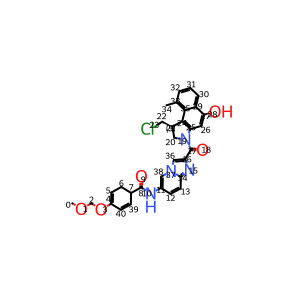 COCOC1=CCC(C(=O)Nc2ccc3nc(C(=O)N4C[C@@H](CCl)c5c4cc(O)c4cccc(C)c54)cn3c2)C=C1